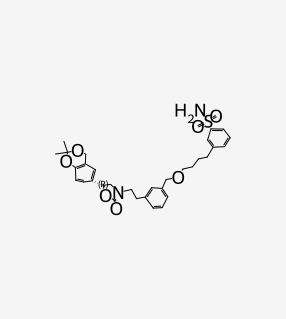 CC1(C)OCc2cc([C@@H]3CN(CCc4cccc(COCCCCc5cccc(S(N)(=O)=O)c5)c4)C(=O)O3)ccc2O1